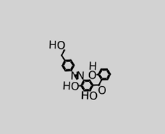 O=C(c1ccccc1O)c1cc(N=Nc2ccc(CCO)cc2)c(O)cc1O